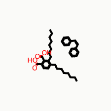 C(=C/c1ccccc1)/c1ccccc1.CCCCCCCCc1ccc(C(=O)O)c(C(=O)O)c1CCCCCCCC